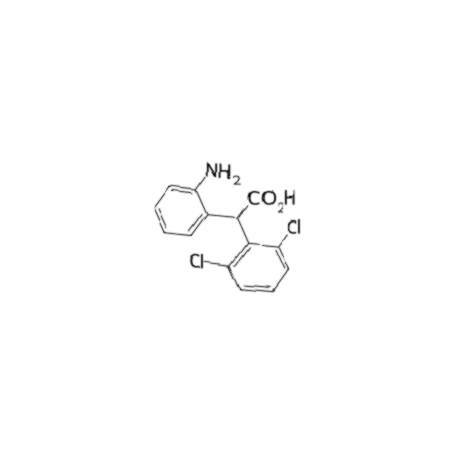 Nc1ccccc1C(C(=O)O)c1c(Cl)cccc1Cl